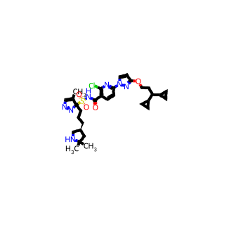 CC1=CN=NC1(CCC[C@@H]1CNC(C)(C)C1)S(=O)(=O)NC(=O)c1ccc(-n2ccc(OCCC(C3CC3)C3CC3)n2)nc1Cl